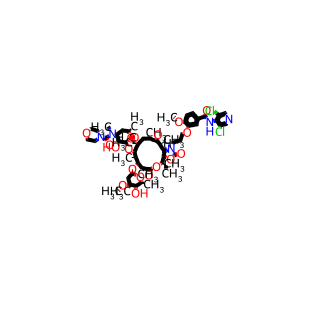 CC[C@H]1OC(=O)C(C)C(O[C@H]2CC(C)(OC)C(O)[C@H](C)O2)[C@H](C)C(O[C@@H]2O[C@H](C)C[C@H](N(C)C(=O)N3CCOCC3)[C@H]2O)[C@](C)(OC)C[C@@H](C)C(=O)[C@H](C)[C@H]2N(CCCOc3cc(C(=O)Nc4c(Cl)cncc4Cl)ccc3OC)C(=O)O[C@]12C